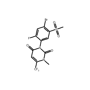 Cn1c(C(F)(F)F)cc(=O)n(-c2cc(S(C)(=O)=O)c(Br)cc2F)c1=O